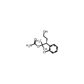 CC(C)(OC(N)=O)[C@@H](CCO)c1ccccc1Cl